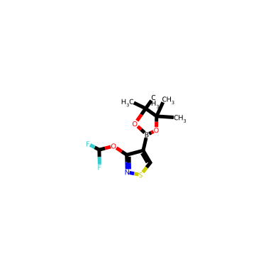 CC1(C)OB(c2csnc2OC(F)F)OC1(C)C